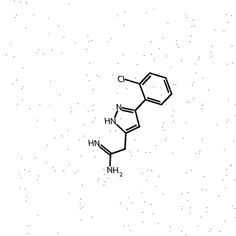 N=C(N)Cc1cc(-c2ccccc2Cl)n[nH]1